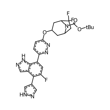 CC(C)(C)OC(=O)N1C2CC(Oc3ccc(-c4cc(F)c(-c5cn[nH]c5)c5cn[nH]c45)nn3)CC1C(F)(F)C2